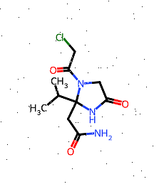 CC(C)C1(CC(N)=O)NC(=O)CN1C(=O)CCl